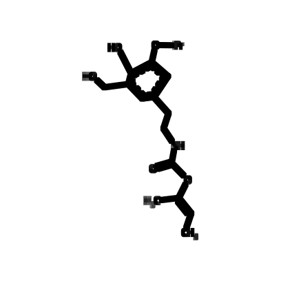 C/C=C(\C)OC(=O)NCCc1cc(CO)c(O)c(OC(C)C)c1